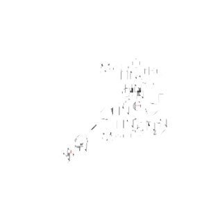 COC(=O)N[C@H](C(=O)NN(Cc1c(F)cc(-c2ncccn2)cc1F)C[C@H](O)[C@H](Cc1ccc(C#Cc2ccc(N3CC4CCC(C3)N4C3COC3)nc2)cc1)NC(=O)[C@@H](NC(=O)OC)C(C)(C)C(F)(F)F)C(C)(C)C